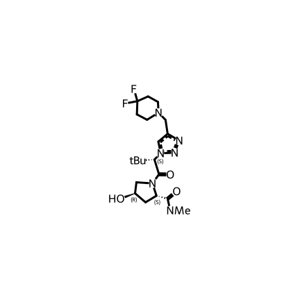 CNC(=O)[C@@H]1C[C@@H](O)CN1C(=O)[C@@H](n1cc(CN2CCC(F)(F)CC2)nn1)C(C)(C)C